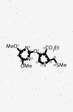 CCOC(=O)c1c(Oc2nc(OC)cc(OC)n2)csc1CSC